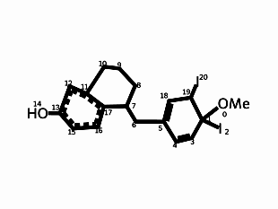 COC1(I)C=CC(CC2CCCc3cc(O)ccc32)=CC1I